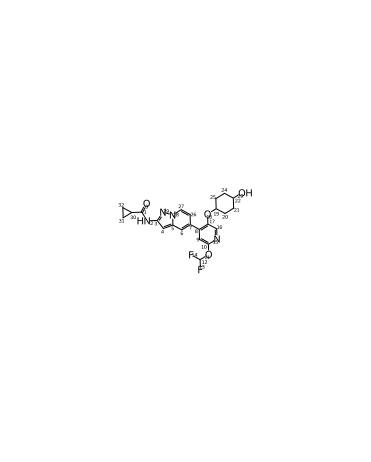 O=C(Nc1cc2cc(-c3cc(OC(F)F)ncc3OC3CCC(O)CC3)ccn2n1)C1CC1